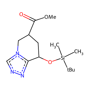 COC(=O)C1CC(O[Si](C)(C)C(C)(C)C)c2nncn2C1